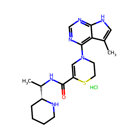 Cc1c[nH]c2ncnc(N3C=C(C(=O)NC(C)[C@H]4CCCCN4)SCC3)c12.Cl